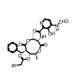 CC(C)CC(=O)O[C@H]1[C@H](C)OC(=O)[C@@H](NC(=O)c2nccc(NC=O)c2O)[C@@H](C)OC(=O)[C@@H]1Cc1ccccc1